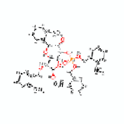 O=C1O[C@H]([C@H](CO)OP(=O)(OCc2ccccc2[N+](=O)[O-])OCc2ccccc2[N+](=O)[O-])C(OCc2ccccc2[N+](=O)[O-])=C1OCc1ccccc1[N+](=O)[O-]